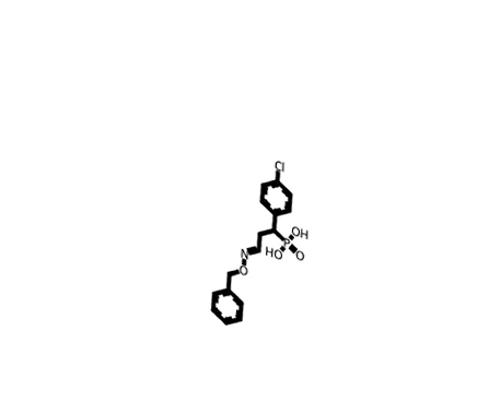 O=P(O)(O)C(CC=NOCc1ccccc1)c1ccc(Cl)cc1